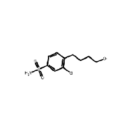 NS(=O)(=O)c1ccc(CCCC[O])c(Cl)c1